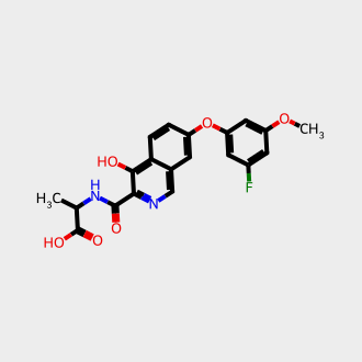 COc1cc(F)cc(Oc2ccc3c(O)c(C(=O)NC(C)C(=O)O)ncc3c2)c1